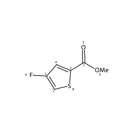 COC(=O)c1cc(F)[c]s1